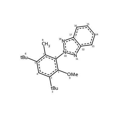 COc1c(C(C)(C)C)cc(C(C)(C)C)c(C)c1-n1nc2ccccc2n1